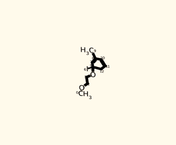 COCCO[C@]1(I)C=C(C)C=CC1